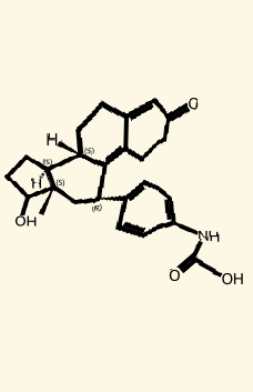 C[C@]12C[C@H](c3ccc(NC(=O)O)cc3)C3=C4CCC(=O)C=C4CC[C@H]3[C@@H]1CCC2O